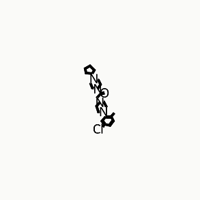 Cc1ccc(Cl)cc1N1CCN(CC(=O)N2CCN(C3CCCC3)CC2)CC1